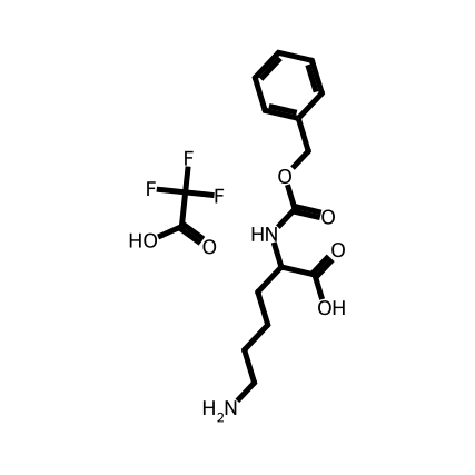 NCCCCC(NC(=O)OCc1ccccc1)C(=O)O.O=C(O)C(F)(F)F